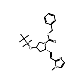 Cn1ccnc1/C=C/[C@@H]1C[C@@H](O[Si](C)(C)C(C)(C)C)CN1C(=O)OCc1ccccc1